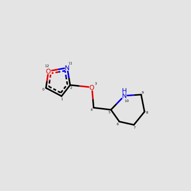 c1cc(OCC2CCCCN2)no1